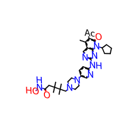 CC(=O)c1c(C)c2cnc(Nc3ccc(N4CCN(CC(C)(C)C(C)(C)CC(=O)NO)CC4)cn3)nc2n(C2CCCC2)c1=O